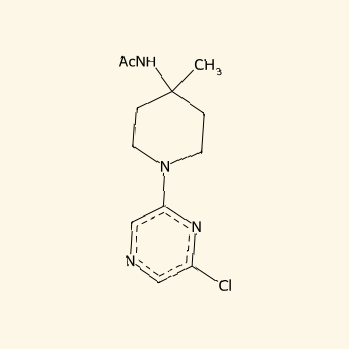 CC(=O)NC1(C)CCN(c2cncc(Cl)n2)CC1